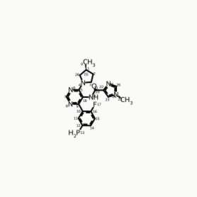 C[C@H]1CCN(c2ncnc(-c3cc(P)ccc3F)c2NC(=O)c2cn(C)cn2)C1